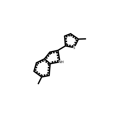 Cc1ccc2cc(-c3ccc(C)s3)[nH]c2c1